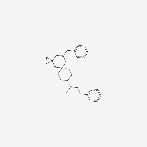 CN(CCc1ccccc1)[C@H]1CC[C@@]2(CC1)CN(Cc1ccccc1)CC1(CC1)O2